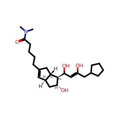 CN(C)C(=O)CCCCC1=C[C@@H]2C[C@@H](O)[C@H](C(O)C=C(O)CC3CCCC3)[C@H]2C1